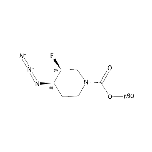 CC(C)(C)OC(=O)N1CC[C@@H](N=[N+]=[N-])[C@@H](F)C1